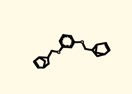 C1=CC2CC1CC2COc1cccc(OCC2CC3C=CC2C3)c1